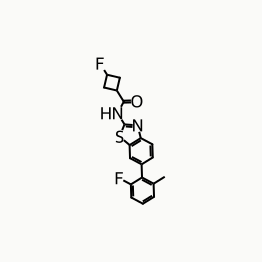 Cc1cccc(F)c1-c1ccc2nc(NC(=O)C3CC(F)C3)sc2c1